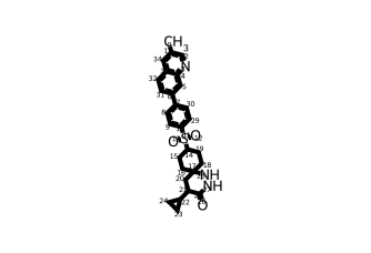 Cc1cnc2cc(-c3ccc(S(=O)(=O)C4CCC5(CC4)CC(C4CC4)C(=O)NN5)cc3)ccc2c1